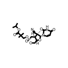 CC(C)OC(=O)C(C)(C)COP1(=O)C[C@@H]2[C@@H](CO1)O[C@@H](n1ccc(=O)[nH]c1=O)[C@]2(C)C#N